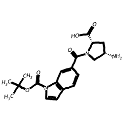 CC(C)(C)OC(=O)n1ccc2ccc(C(=O)N3C[C@@H](N)C[C@H]3C(=O)O)cc21